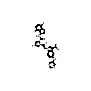 CC(=O)c1cn(CC(=O)N2C[C@H](F)C[C@H]2C(=O)NC2CCc3c(F)ccc(F)c32)c2ccc(Nc3cncnc3)cc12